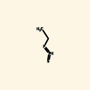 CCP=[PH]=S